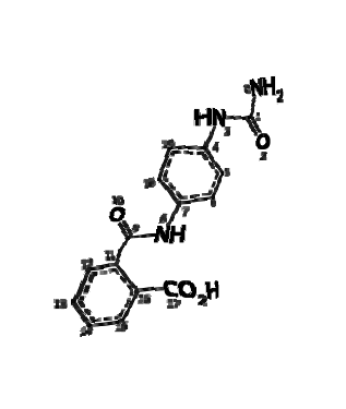 NC(=O)Nc1ccc(NC(=O)c2ccccc2C(=O)O)cc1